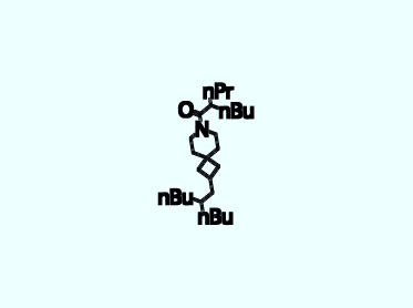 CCCCC(CCCC)CC1CC2(CCN(C(=O)C(CCC)CCCC)CC2)C1